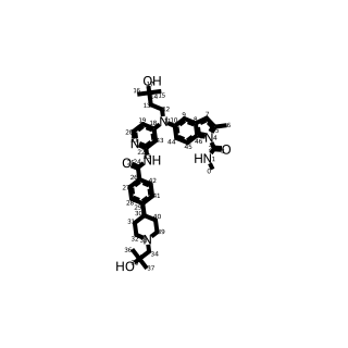 CNC(=O)n1c(C)cc2cc(N(CCC(C)(C)O)c3ccnc(NC(=O)c4ccc(C5CCN(CC(C)(C)O)CC5)cc4)c3)ccc21